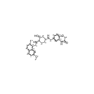 COc1cnc2ccc(F)c(CNC3CC[C@@H](NCc4cnc5c(n4)NC(=O)CO5)C[C@@H]3O)c2n1